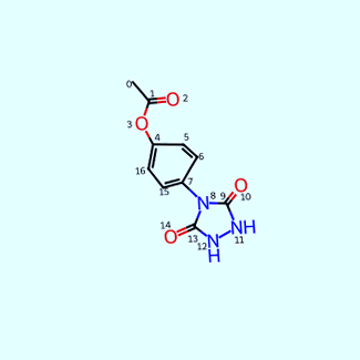 CC(=O)Oc1ccc(-n2c(=O)[nH][nH]c2=O)cc1